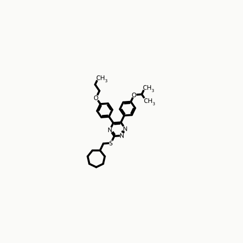 CCCOc1ccc(-c2nc(SCC3CCCCCC3)nnc2-c2ccc(OC(C)C)cc2)cc1